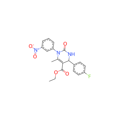 CCOC(=O)C1=C(C)N(c2cccc([N+](=O)[O-])c2)C(=O)NC1c1ccc(F)cc1